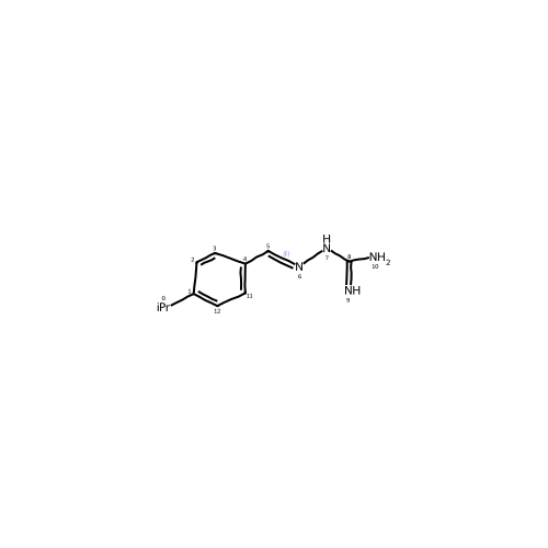 CC(C)c1ccc(/C=N/NC(=N)N)cc1